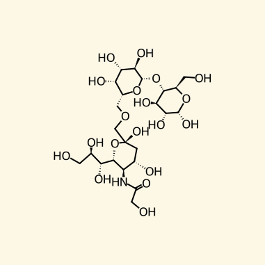 O=C(CO)N[C@H]1[C@H]([C@H](O)[C@H](O)CO)O[C@](O)(COC[C@H]2O[C@@H](O[C@H]3[C@H](O)[C@@H](O)[C@@H](O)O[C@@H]3CO)[C@H](O)[C@@H](O)[C@H]2O)C[C@@H]1O